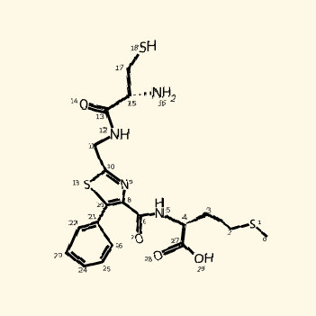 CSCC[C@H](NC(=O)c1nc(CNC(=O)[C@@H](N)CS)sc1-c1ccccc1)C(=O)O